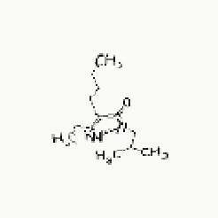 CCCCc1c(CC)[nH]n(CC(C)C)c1=O